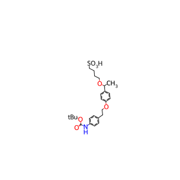 CC(OCCCCS(=O)(=O)O)c1ccc(OCCc2ccc(NC(=O)OC(C)(C)C)cc2)cc1